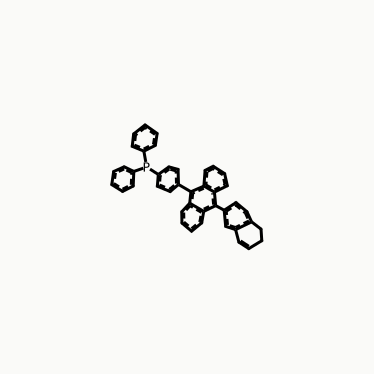 C1=Cc2cc(-c3c4ccccc4c(-c4ccc(P(c5ccccc5)c5ccccc5)cc4)c4ccccc34)ccc2CC1